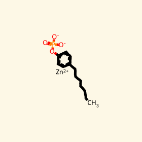 CCCCCCCc1ccc(OP(=O)([O-])[O-])cc1.[Zn+2]